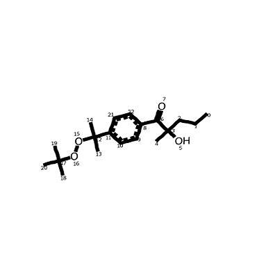 CCCC(C)(O)C(=O)c1ccc(C(C)(C)OOC(C)(C)C)cc1